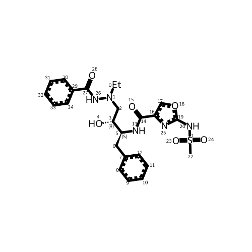 CCN(C[C@@H](O)[C@H](Cc1ccccc1)NC(=O)c1coc(NS(C)(=O)=O)n1)NC(=O)c1ccccc1